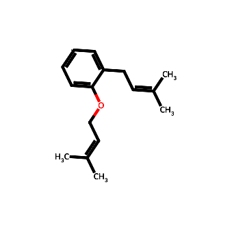 CC(C)=CCOc1cc[c]cc1CC=C(C)C